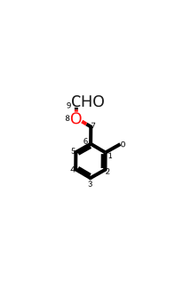 Cc1ccccc1COC=O